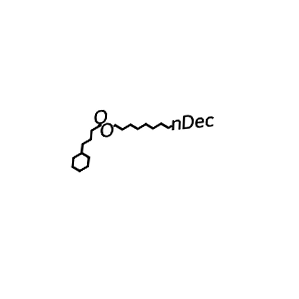 CCCCCCCCCCCCCCCCCCOC(=O)CCCC1CCCCC1